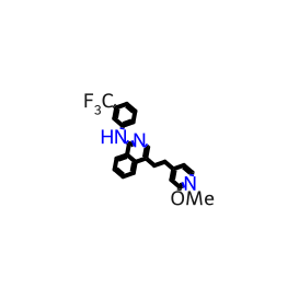 COc1cc(CCc2cnc(Nc3cccc(C(F)(F)F)c3)c3ccccc23)ccn1